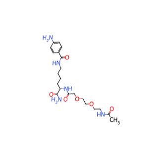 CC(=O)NCCOCCOCC(=O)NC(CCCCNC(=O)c1ccc(N)cc1)C(N)=O